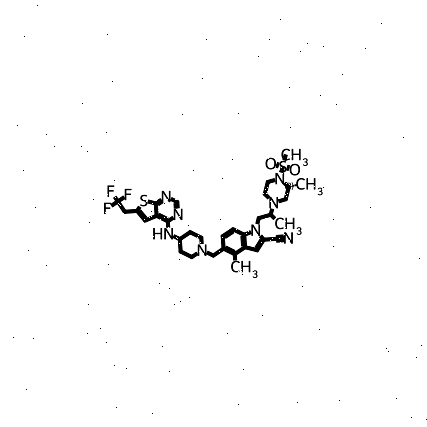 Cc1c(CN2CCC(Nc3ncnc4sc(CC(F)(F)F)cc34)CC2)ccc2c1cc(C#N)n2CC(C)N1CCN(S(C)(=O)=O)[C@H](C)C1